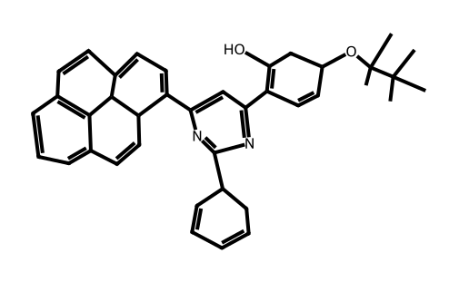 CC(C)(C)C(C)(C)OC1C=CC(c2cc(C3=CC=C4C=Cc5cccc6c5C4C3C=C6)nc(C3C=CC=CC3)n2)=C(O)C1